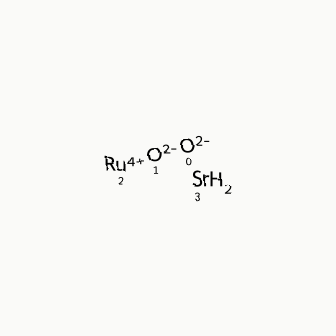 [O-2].[O-2].[Ru+4].[SrH2]